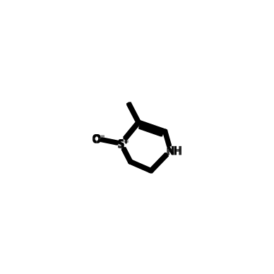 CC1=CNCC[S+]1[O-]